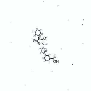 O=C(O)c1cccc(-c2ccc(/C=C3\SC(=O)N(c4ccccc4)C3=O)o2)c1